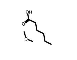 CCCCCC(=O)O.COC